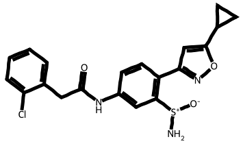 N[S+]([O-])c1cc(NC(=O)Cc2ccccc2Cl)ccc1-c1cc(C2CC2)on1